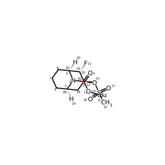 CC(C)(C)OC(=O)N1[C@@H]2CCC[C@H]1[C@H](F)[C@@H](OS(C)(=O)=O)C2